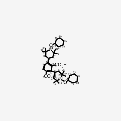 CC1(C)CC(c2ccc(C(=O)O)c(C3CC(C)(C)N(OC4CCCCC4)C(C)(C)C3)c2C(=O)O)CC(C)(C)N1OC1CCCCC1